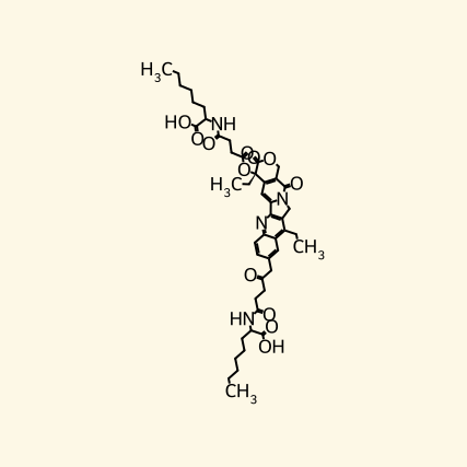 CCCCCCC(NC(=O)CCC(=O)Cc1ccc2nc3c(c(CC)c2c1)Cn1c-3cc2c(c1=O)COC(=O)[C@@]2(CC)OC(=O)CCC(=O)NC(CCCCCC)C(=O)O)C(=O)O